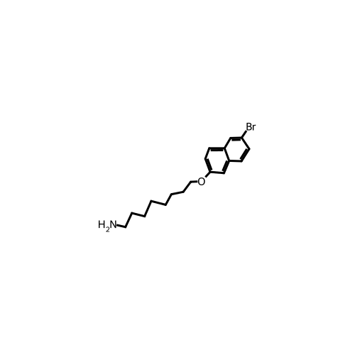 NCCCCCCCCOc1ccc2cc(Br)ccc2c1